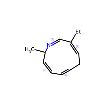 CCC1=C/C/C=C\C=C/C(C)/N=C\1